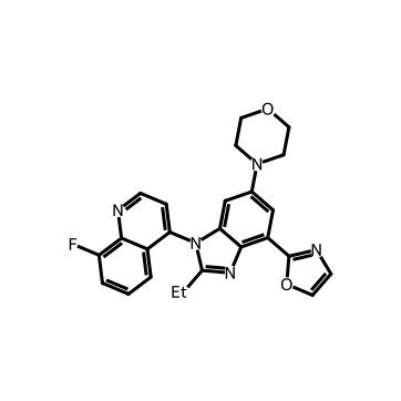 CCc1nc2c(-c3ncco3)cc(N3CCOCC3)cc2n1-c1ccnc2c(F)cccc12